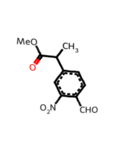 COC(=O)C(C)c1ccc(C=O)c([N+](=O)[O-])c1